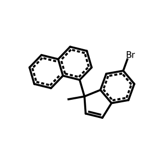 CC1(c2cccc3ccccc23)C=Cc2ccc(Br)cc21